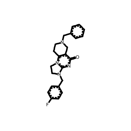 O=c1nc2n(c3c1CN(Cc1ccccc1)CC3)CCN2Cc1ccc(F)cc1